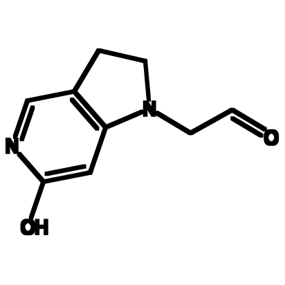 O=CCN1CCc2cnc(O)cc21